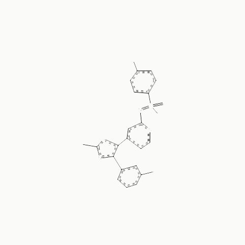 CCc1nc(-c2cccc(C)c2)c(-c2ccnc(N=S(C)(=O)c3ccc(F)cc3)c2)s1